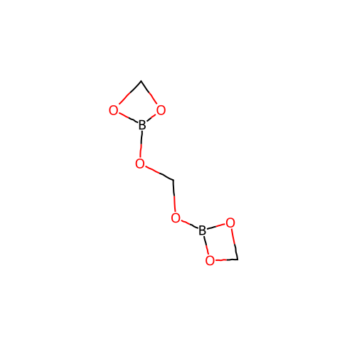 C1OB(OCOB2OCO2)O1